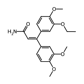 CCOc1cc(/C(=C\C(N)=O)c2ccc(OC)c(OC)c2)ccc1OC